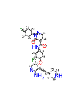 Nc1nccc(Oc2ccc(NC(=O)c3ccnn(-c4ccc(F)cc4)c3=O)cc2F)c1C#CC1CCNCC1